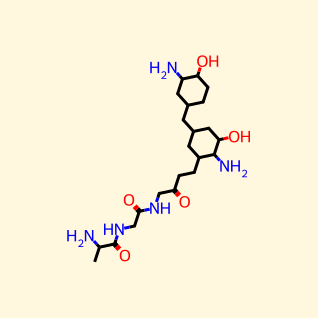 CC(N)C(=O)NCC(=O)NCC(=O)CCC1CC(CC2CCC(O)C(N)C2)CC(O)C1N